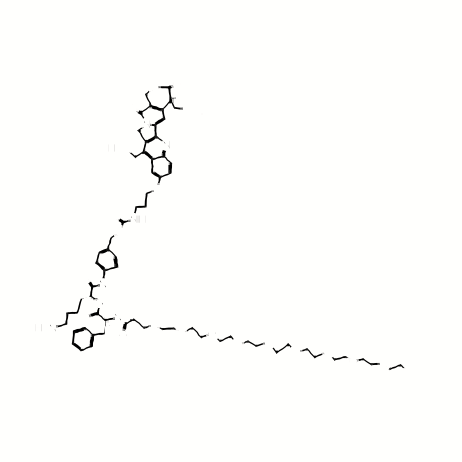 CCCOCCOCCOCCOCCOCCOCCOCCOCCOCCC(=O)N[C@@H](Cc1ccccc1)C(=O)N[C@@H](CCCCN)C(=O)Nc1ccc(COC(=O)NCCCOc2ccc3nc4c(c(CC)c3c2)Cn2c-4cc3c(c2=O)COC(=O)[C@]3(O)CC)cc1